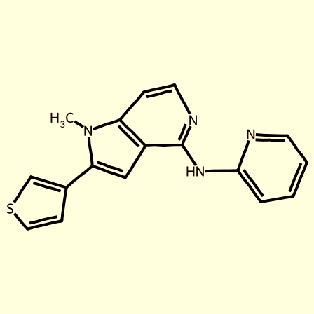 Cn1c(-c2ccsc2)cc2c(Nc3ccccn3)nccc21